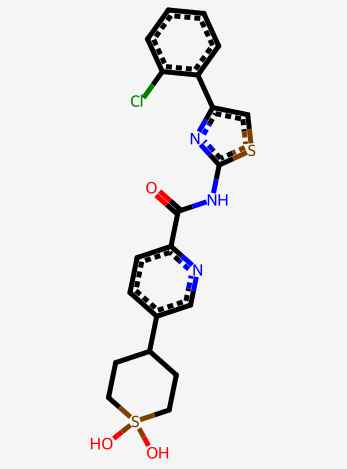 O=C(Nc1nc(-c2ccccc2Cl)cs1)c1ccc(C2CCS(O)(O)CC2)cn1